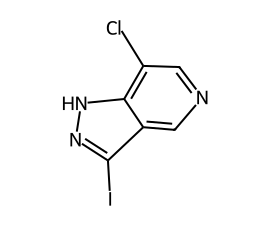 Clc1cncc2c(I)n[nH]c12